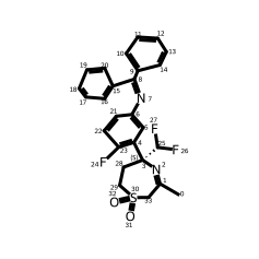 CC1=N[C@@](c2cc(N=C(c3ccccc3)c3ccccc3)ccc2F)(C(F)F)CCS(=O)(=O)C1